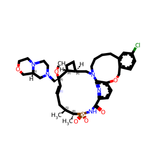 CO[C@@]1(CN2CCN3CCOC[C@@H]3C2)/C=C/C[C@H](C)[C@@H](C)S(=O)(=O)NC(=O)c2ccc3c(n2)N(CCCCc2cc(Cl)ccc2CO3)C[C@@H]2CC[C@H]21